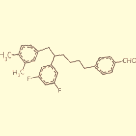 Cc1ccc(CC(CCCCc2ccc(C=O)cc2)c2cc(F)cc(F)c2)cc1C